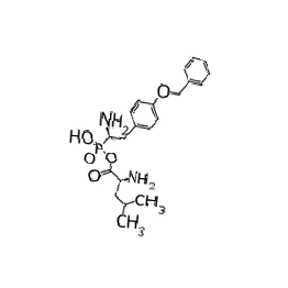 CC(C)C[C@H](N)C(=O)OP(=O)(O)[C@@H](N)Cc1ccc(OCc2ccccc2)cc1